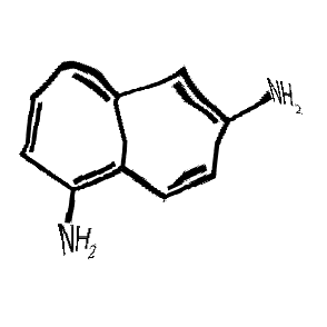 Nc1c[c]c2c(N)cccc2c1